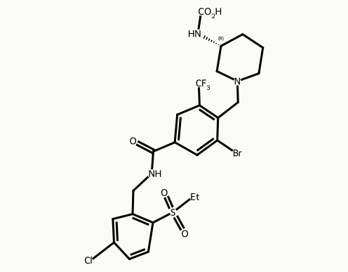 CCS(=O)(=O)c1ccc(Cl)cc1CNC(=O)c1cc(Br)c(CN2CCC[C@@H](NC(=O)O)C2)c(C(F)(F)F)c1